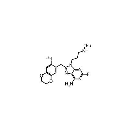 CC(C)(C)NCCCn1c(Cc2cc3c(cc2[131I])OCCO3)nc2c(N)nc(F)nc21